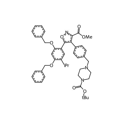 COC(=O)c1noc(-c2cc(C(C)C)c(OCc3ccccc3)cc2OCc2ccccc2)c1-c1ccc(CN2CCN(C(=O)OC(C)(C)C)CC2)cc1